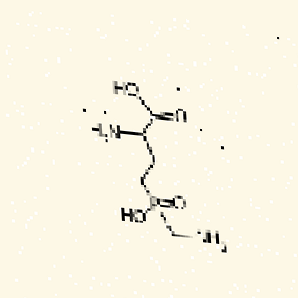 NCP(=O)(O)CCC(N)C(=O)O